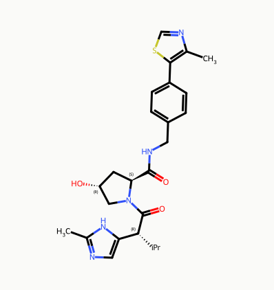 Cc1ncc([C@H](C(=O)N2C[C@H](O)C[C@H]2C(=O)NCc2ccc(-c3scnc3C)cc2)C(C)C)[nH]1